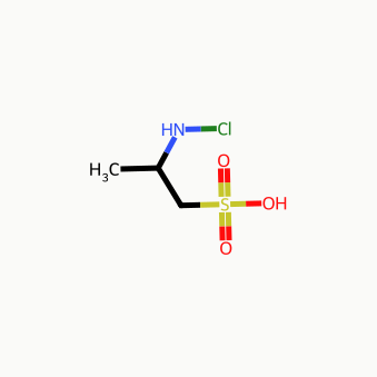 CC(CS(=O)(=O)O)NCl